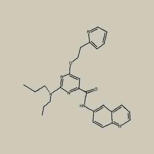 CCCN(CCC)c1nc(OCCc2ccccn2)cc(C(=O)Nc2ccc3ncccc3c2)n1